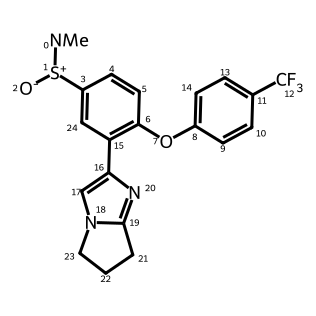 CN[S+]([O-])c1ccc(Oc2ccc(C(F)(F)F)cc2)c(-c2cn3c(n2)CCC3)c1